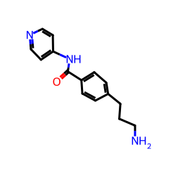 NCCCc1ccc(C(=O)Nc2ccncc2)cc1